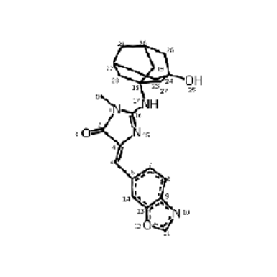 CN1C(=O)/C(=C/c2ccc3ncoc3c2)N=C1NC12CC3CC(CC(O)(C3)C1)C2